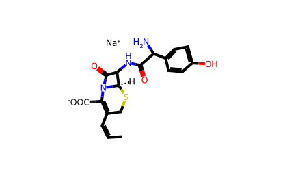 C/C=C\C1=C(C(=O)[O-])N2C(=O)C(NC(=O)C(N)c3ccc(O)cc3)[C@H]2SC1.[Na+]